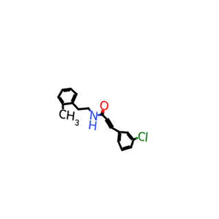 Cc1ccccc1CCNC(=O)C#Cc1cccc(Cl)c1